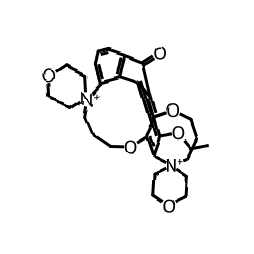 CCOc1c2c3c4c(c1[N+]1(CCCO4)CCOCC1)OCCC[N+]1(CCOCC1)c1cccc(c1-2)C3=O